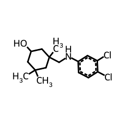 CC1(C)CC(O)CC(C)(CNc2ccc(Cl)c(Cl)c2)C1